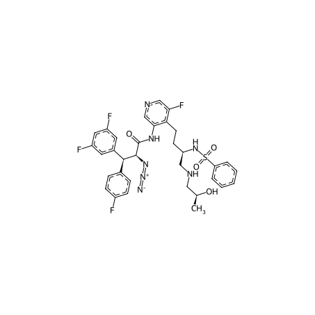 C[C@H](O)CNC[C@@H](CCc1c(F)cncc1NC(=O)[C@@H](N=[N+]=[N-])[C@@H](c1ccc(F)cc1)c1cc(F)cc(F)c1)NS(=O)(=O)c1ccccc1